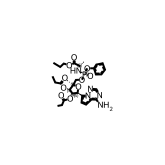 CCCOC(=O)[C@H](C)N[P@@](=O)(OC[C@@]1(C)O[C@@H](c2ccc3c(N)ncnn23)[C@H](OC(=O)CC)[C@@H]1OC(=O)CC)Oc1ccccc1